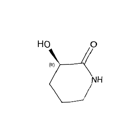 O=C1NCCC[C@H]1O